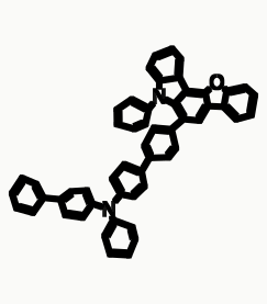 c1ccc(-c2ccc(N(c3ccccc3)c3ccc(-c4ccc(-c5cc6c7ccccc7oc6c6c7ccccc7n(-c7ccccc7)c56)cc4)cc3)cc2)cc1